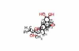 C=C(C(C)C)[C@@H](O)[C@H](O)[C@@H](C)[C@H]1CC[C@H]2[C@@H]3CC(=O)[C@H]4C[C@H](O)[C@H](O)C[C@]4(C)[C@H]3CC[C@]12C